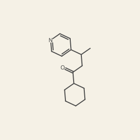 CC(CC(=O)C1CCCCC1)c1ccncc1